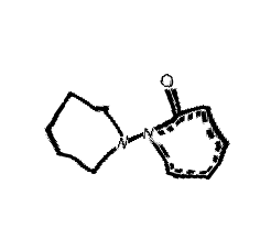 O=c1ccccn1N1CCCCC1